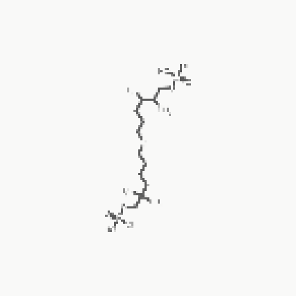 CC(CCCOCCCCC(C)(C)COP(=O)(O)O)C(C)COP(=O)(O)O